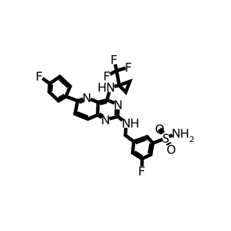 NS(=O)(=O)c1cc(F)cc(CNc2nc(NC3(C(F)(F)F)CC3)c3nc(-c4ccc(F)cc4)ccc3n2)c1